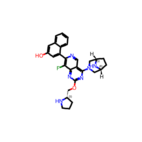 Oc1cc(-c2ncc3c(N4C[C@H]5CC[C@@H](C4)N5)nc(OC[C@@H]4CCCN4)nc3c2F)c2ccccc2c1